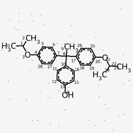 CC(C)Oc1ccc(C(C)(c2ccc(O)cc2)c2ccc(OC(C)C)cc2)cc1